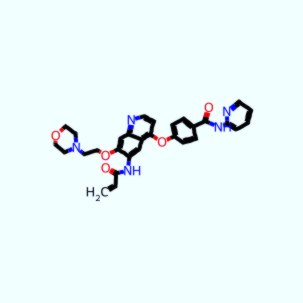 C=CC(=O)Nc1cc2c(Oc3ccc(C(=O)Nc4ccccn4)cc3)ccnc2cc1OCCN1CCOCC1